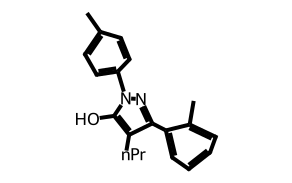 CCCc1c(-c2ccccc2C)nn(-c2ccc(C)cc2)c1O